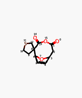 O=C1CC2C=CC(O2)C2(CCSC2)C(=O)O1